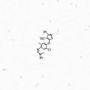 Cc1cc(Oc2snc(C(C)C)c2C#N)c(Cl)cc1/N=C\N(C)C(C)C